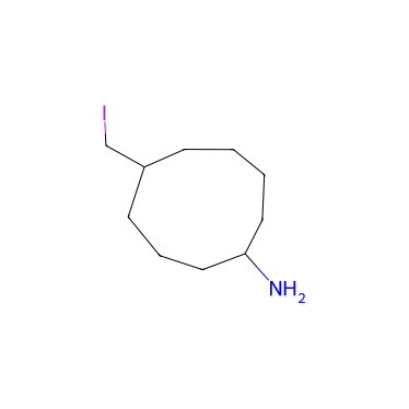 NC1CCCCC(CI)CCC1